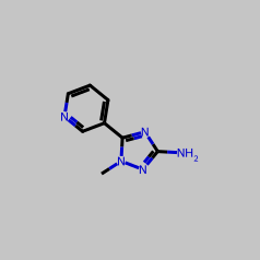 Cn1nc(N)nc1-c1cccnc1